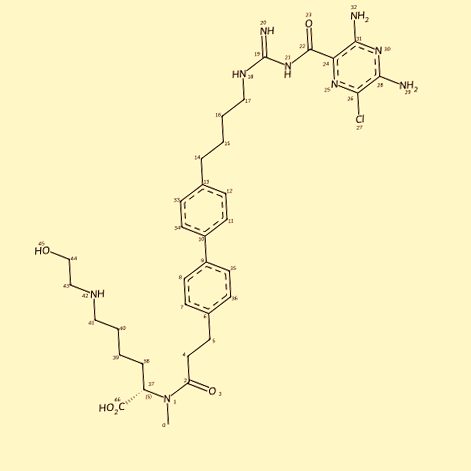 CN(C(=O)CCc1ccc(-c2ccc(CCCCNC(=N)NC(=O)c3nc(Cl)c(N)nc3N)cc2)cc1)[C@@H](CCCCNCCO)C(=O)O